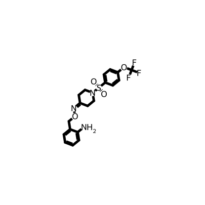 Nc1ccccc1CON=C1CCN(S(=O)(=O)c2ccc(OC(F)(F)F)cc2)CC1